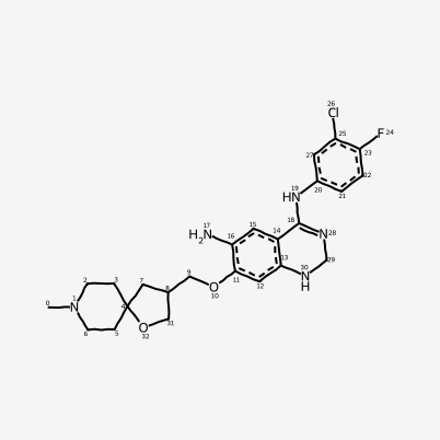 CN1CCC2(CC1)CC(COc1cc3c(cc1N)C(Nc1ccc(F)c(Cl)c1)=NCN3)CO2